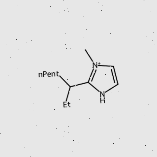 CCCCCC(CC)c1[nH]cc[n+]1C